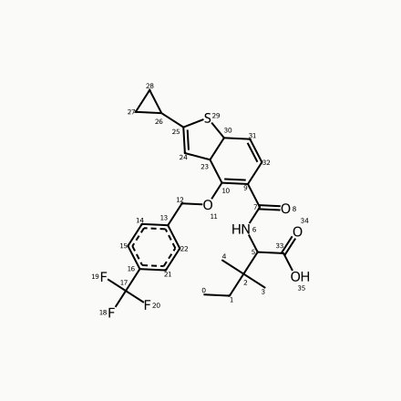 CCC(C)(C)C(NC(=O)C1=C(OCc2ccc(C(F)(F)F)cc2)C2C=C(C3CC3)SC2C=C1)C(=O)O